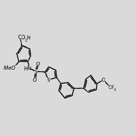 COc1cc(C(=O)O)ccc1NS(=O)(=O)c1ccc(-c2cccc(-c3ccc(OC(F)(F)F)cc3)c2)s1